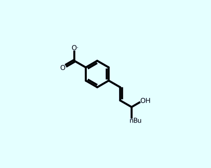 CCCCC(O)/C=C/c1ccc(C([O])=O)cc1